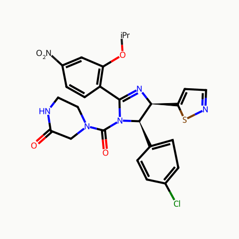 CC(C)Oc1cc([N+](=O)[O-])ccc1C1=N[C@@H](c2ccns2)[C@@H](c2ccc(Cl)cc2)N1C(=O)N1CCNC(=O)C1